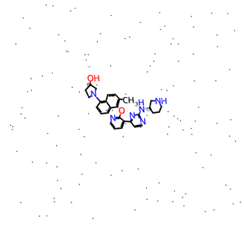 Cc1ccc2c(N3CC[C@@H](O)C3)cccc2c1Oc1ncccc1-c1ccnc(N[C@H]2CCCNC2)n1